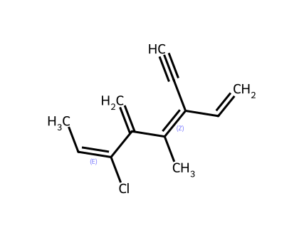 C#C/C(C=C)=C(/C)C(=C)/C(Cl)=C\C